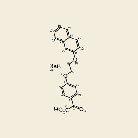 O=C(O)C(=O)c1ccc(OCCOc2ccc3ccccc3c2)cc1.[NaH]